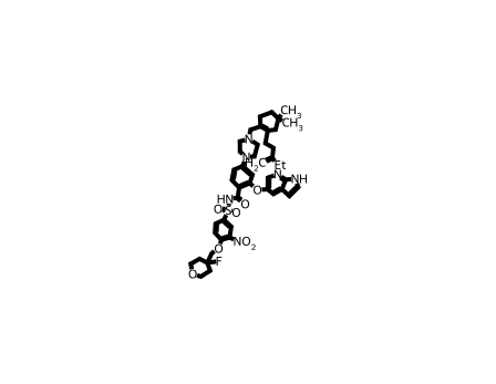 C=C(CC)CCC1=C(CN2CCN(c3ccc(C(=O)NS(=O)(=O)c4ccc(OCC5(F)CCOCC5)c([N+](=O)[O-])c4)c(Oc4cnc5[nH]ccc5c4)c3)CC2)CCC(C)(C)C1